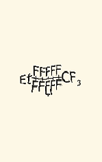 CCC(F)(F)C(F)(F)C(F)(F)C(F)(F)C(F)(F)C(F)(F)F.[Li]